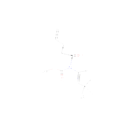 C=CCCC(=O)N(C(=O)OC(C)(C)C)/C(C)=C/C(C)(C)CC